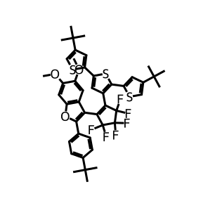 COc1cc2oc(-c3ccc(C(C)(C)C)cc3)c(C3=C(c4cc(-c5cc(C(C)(C)C)cs5)sc4-c4cc(C(C)(C)C)cs4)C(F)(F)C(F)(F)C3(F)F)c2cc1OC